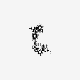 CCOC(C)c1cccc2oc(C(=O)NCCOc3ccc(C(=O)Nc4ccccc4N)cc3)cc12